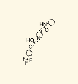 O=C(CN1CCN(C[C@@H](O)COc2ccc(C(F)(F)F)cc2)CC1)NC1CCCCC1